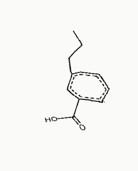 CCCc1cc[c]c(C(=O)O)c1